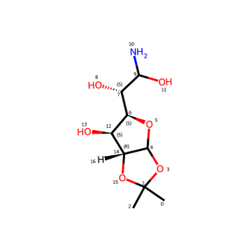 CC1(C)OC2O[C@H]([C@H](O)C(N)O)[C@H](O)[C@H]2O1